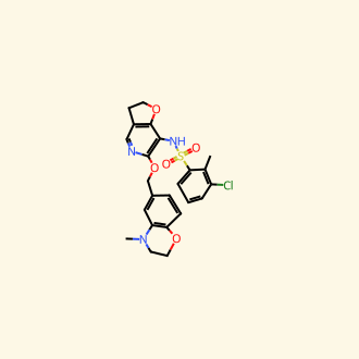 Cc1c(Cl)cccc1S(=O)(=O)Nc1c(OCc2ccc3c(c2)N(C)CCO3)ncc2c1OCC2